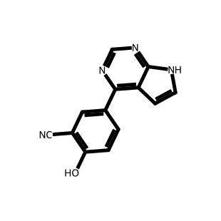 N#Cc1cc(-c2ncnc3[nH]ccc23)ccc1O